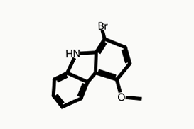 COc1ccc(Br)c2[nH]c3ccccc3c12